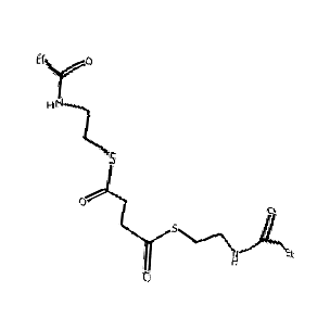 CCC(=O)NCCSC(=O)CCC(=O)SCCNC(=O)CC